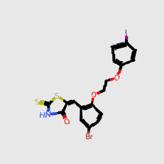 O=C1NC(=S)SC1=Cc1cc(Br)ccc1OCCOc1ccc(I)cc1